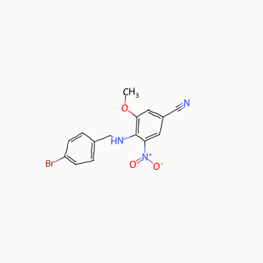 COc1cc(C#N)cc([N+](=O)[O-])c1NCc1ccc(Br)cc1